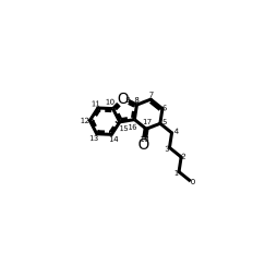 CCCCCC1C=Cc2oc3ccccc3c2C1=O